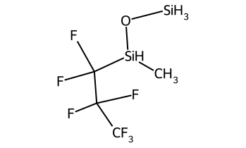 C[SiH](O[SiH3])C(F)(F)C(F)(F)C(F)(F)F